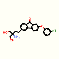 NC(CO)(CO)CCc1ccc2c(c1)-c1ccc(Oc3cccc(Cl)c3)cc1C2=O